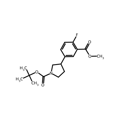 COC(=O)c1cc(C2CCN(C(=O)OC(C)(C)C)C2)ccc1F